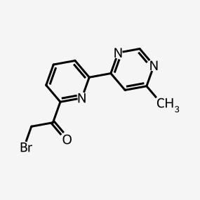 Cc1cc(-c2cccc(C(=O)CBr)n2)ncn1